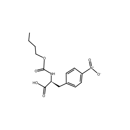 CCCCOC(=O)N[C@@H](Cc1ccc([N+](=O)[O-])cc1)C(=O)O